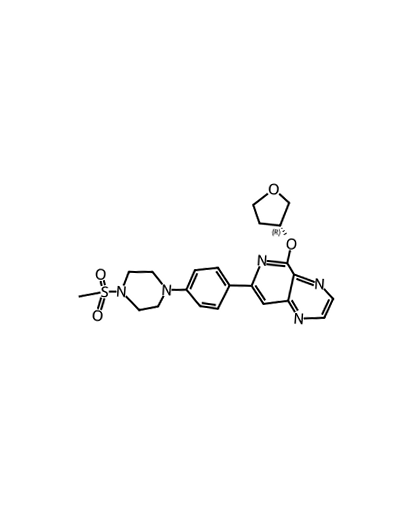 CS(=O)(=O)N1CCN(c2ccc(-c3cc4nccnc4c(O[C@@H]4CCOC4)n3)cc2)CC1